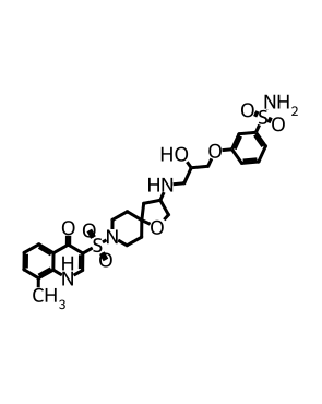 Cc1cccc2c(=O)c(S(=O)(=O)N3CCC4(CC3)CC(NCC(O)COc3cccc(S(N)(=O)=O)c3)CO4)c[nH]c12